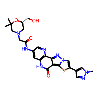 Cn1cc(-c2cn3nc4c5ncc(NC(=O)CN6C[C@@H](CO)OC(C)(C)C6)cc5[nH]c(=O)c4c3s2)cn1